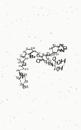 O=C(O)C(CO)NCc1cc(Cl)c(OCc2cccc(-c3cccc(OCCCN4CCC(O)CC4)c3)c2Br)cc1OCc1ccc2nonc2c1